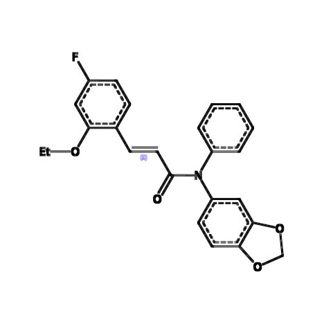 CCOc1cc(F)ccc1/C=C/C(=O)N(c1ccccc1)c1ccc2c(c1)OCO2